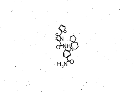 NC(=O)c1ccc(NC(=O)c2csc(-c3cccs3)n2)c(N2CCCC3(CCCC3)C2)c1